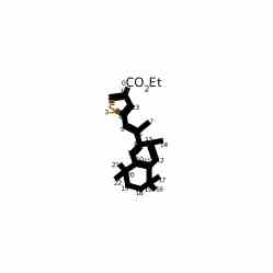 CCOC(=O)c1csc(C=C(C)c2cc3c(cc2C)C(C)(C)CCC3(C)C)c1